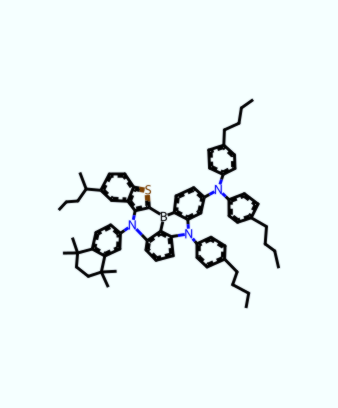 CCCCc1ccc(N(c2ccc(CCCC)cc2)c2ccc3c(c2)N(c2ccc(CCCC)cc2)c2cccc4c2B3c2sc3ccc(C(C)CCC)cc3c2N4c2ccc3c(c2)C(C)(C)CCC3(C)C)cc1